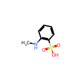 CNc1[c]cccc1S(=O)(=O)O